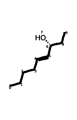 CCCC/C=C/[C@H](O)CC